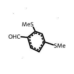 CSc1ccc(C=O)c(SC)c1